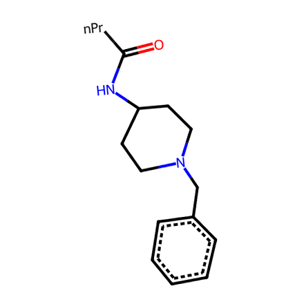 CCCC(=O)NC1CCN(Cc2ccccc2)CC1